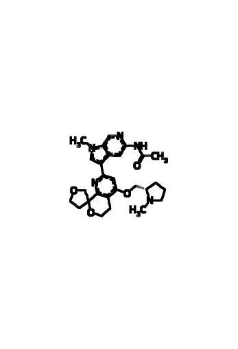 CC(=O)Nc1cc2c(-c3cc(OC[C@@H]4CCCN4C)c4c(n3)C3(CCOC3)OCC4)cn(C)c2cn1